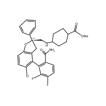 COC(=O)C1CCC(NC[C@@]2(c3ccccc3)Cc3c(ccc(Cl)c3-c3c(C(N)=O)ccc(F)c3F)O2)CC1